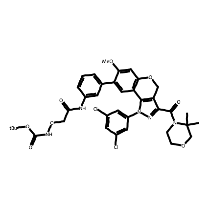 COc1cc2c(cc1-c1cccc(NC(=O)CONC(=O)OC(C)(C)C)c1)-c1c(c(C(=O)N3CCOCC3(C)C)nn1-c1cc(Cl)cc(Cl)c1)CO2